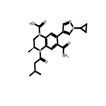 CC(C)CC(=O)N1c2cc(C(N)=O)c(-c3cnn(C4CC4)c3)cc2N(C(=O)O)C[C@@H]1C